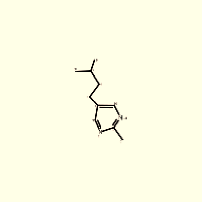 Cc1ncc(CCC(C)C)cn1